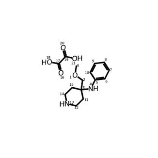 COCC1(Nc2ccccc2)CCNCC1.O=C(O)C(=O)O